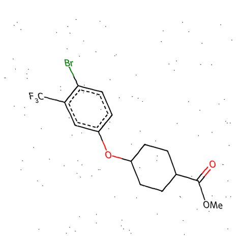 COC(=O)C1CCC(Oc2ccc(Br)c(C(F)(F)F)c2)CC1